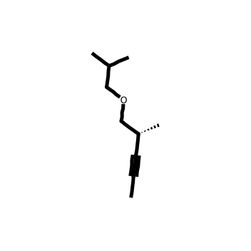 CC#C[C@@H](C)COCC(C)C